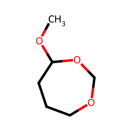 COC1CCCOCO1